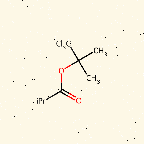 CC(C)C(=O)OC(C)(C)C(Cl)(Cl)Cl